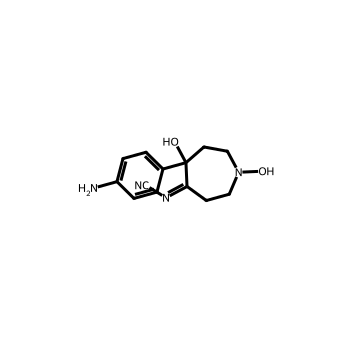 N#CN=C1CCN(O)CCC1(O)c1ccc(N)cc1